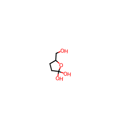 OCC1CCC(O)(O)O1